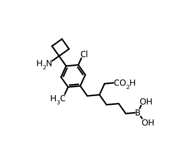 Cc1cc(C2(N)CCC2)c(Cl)cc1CC(CCCB(O)O)CC(=O)O